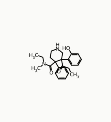 CCC(=O)C1(c2ccccc2O)CNCCC1(C(=O)N(C)CC)c1ccccc1